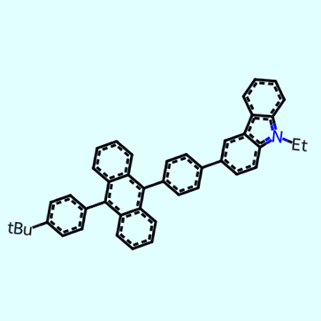 CCn1c2ccccc2c2cc(-c3ccc(-c4c5ccccc5c(-c5ccc(C(C)(C)C)cc5)c5ccccc45)cc3)ccc21